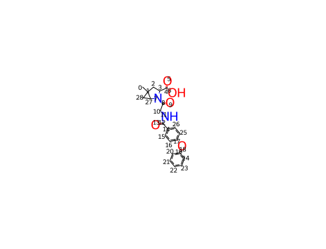 CC12CC(C(=O)O)N(C(=O)CNC(=O)c3ccc(Oc4ccccc4)cc3)C1C2